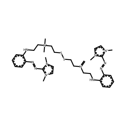 C=[N+](CCNc1ccccc1/N=N/c1n(C)cc[n+]1C)CCSSCC[N+](C)(C)CCNc1ccccc1/N=N/c1n(C)cc[n+]1C